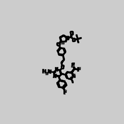 Cc1cc(-c2c(OCCc3ccc(O[C@H]4CCN(C(=O)OC(C)(C)C)C4)cc3)nc(N)nc2-c2ccc(F)cc2)cc(C(F)F)n1